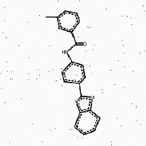 Cc1cccc(C(=O)Nc2ccc(-c3nc4ccccc4o3)cc2)c1